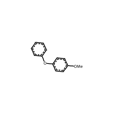 COc1ccc(Oc2[c]c[c]cc2)cc1